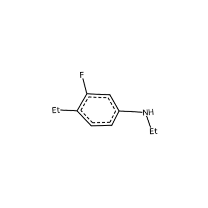 CCNc1ccc(CC)c(F)c1